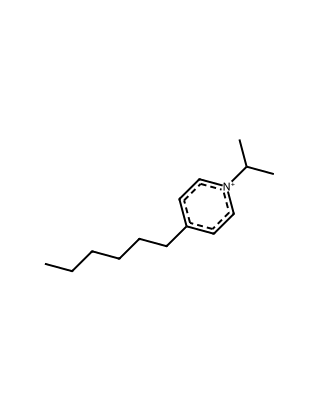 CCCCCCc1cc[n+](C(C)C)cc1